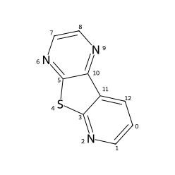 c1cnc2sc3nccnc3c2c1